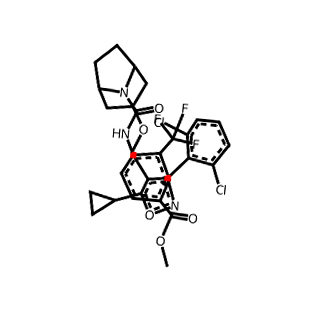 COC(=O)c1ccc(NC(=O)N2C3CCC2CC(OCc2c(-c4c(Cl)cccc4Cl)noc2C2CC2)C3)c(C(F)(F)F)c1